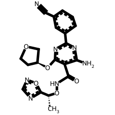 C[C@@H](ONC(=O)c1c(N)nc(-c2cccc(C#N)c2)nc1O[C@H]1CCOC1)c1ncno1